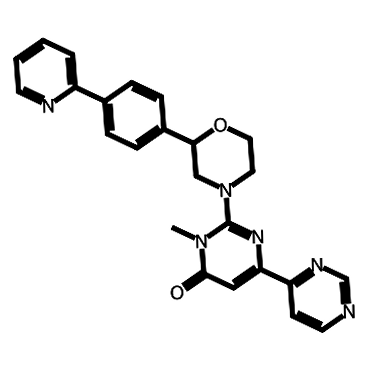 Cn1c(N2CCOC(c3ccc(-c4ccccn4)cc3)C2)nc(-c2ccncn2)cc1=O